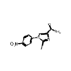 Cc1nc(C(N)=O)cn1-c1ccc([N+](=O)[O-])cc1